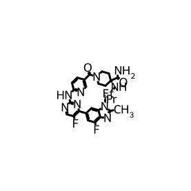 CCNC1(C(N)=O)CCN(C(=O)c2ccc(Nc3ncc(F)c(-c4cc(F)c5nc(C)n(C(C)C)c5c4)n3)nc2)CC1